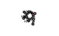 O=C1N[C@@H](Cc2ccc(OCc3ccccc3)cc2)C(=O)N2Cc3ccccc3C[C@H]2C(=O)N2CCNC[C@H]2C(=O)N[C@@H](CCc2ccccc2)C(=O)N[C@H](Cc2c[nH]c3ccccc23)C(=O)N[C@H]1CN1CCNCC1